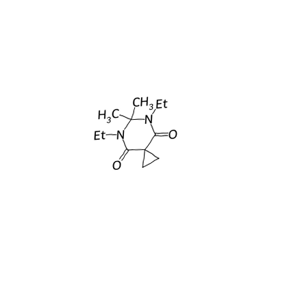 CCN1C(=O)C2(CC2)C(=O)N(CC)C1(C)C